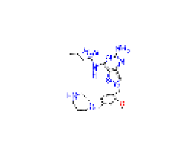 CCCC(N)Nc1nc(N)nc2cn(Cc3ccc(CN4CCCNCC4)cc3OC)nc12